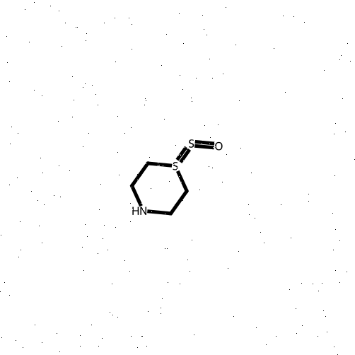 O=S=S1CCNCC1